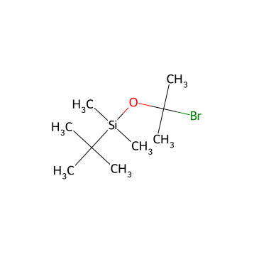 CC(C)(Br)O[Si](C)(C)C(C)(C)C